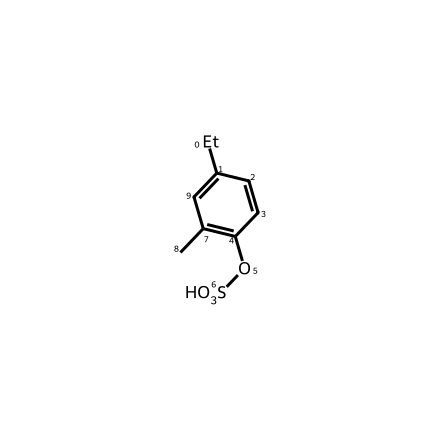 CCc1ccc(OS(=O)(=O)O)c(C)c1